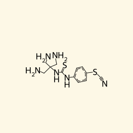 N#CSc1ccc(NC(=S)NC(CN)(CN)CN)cc1